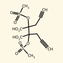 C#CCC(OS(C)(=O)=O)(C(=O)O)C(CC#C)(OS(C)(=O)=O)C(=O)O